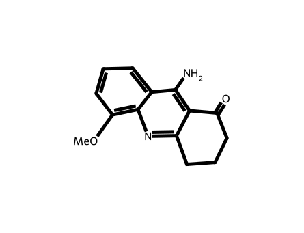 COc1cccc2c(N)c3c(nc12)CCCC3=O